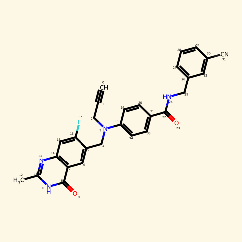 C#CCN(Cc1cc2c(=O)[nH]c(C)nc2cc1F)c1ccc(C(=O)NCc2cccc(C#N)c2)cc1